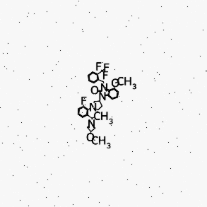 COc1cccc2c1n(Cc1ccccc1C(F)(F)F)c(=O)n2[C@@H]1CCN(c2c(F)cccc2C(C)N2CC(OC)C2)C1